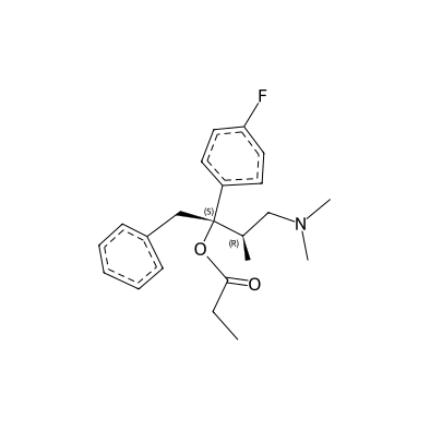 CCC(=O)O[C@](Cc1ccccc1)(c1ccc(F)cc1)[C@H](C)CN(C)C